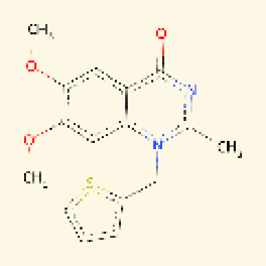 COc1cc2c(=O)nc(C)n(Cc3cccs3)c2cc1OC